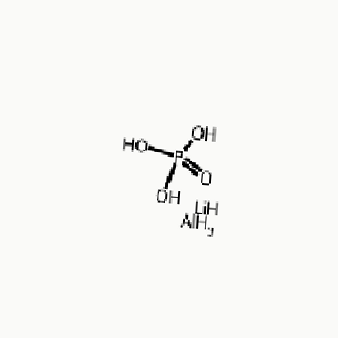 O=P(O)(O)O.[AlH3].[LiH]